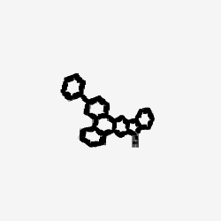 c1ccc(-c2ccc3c(c2)c2ccccc2c2cc4[nH]c5ccccc5c4cc32)cc1